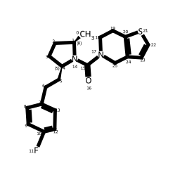 C[C@@H]1CC[C@H](CCc2ccc(F)cc2)N1C(=O)N1CCc2sccc2C1